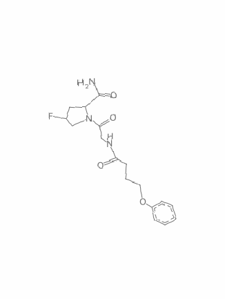 NC(=O)C1CC(F)CN1C(=O)CNC(=O)CCCOc1ccccc1